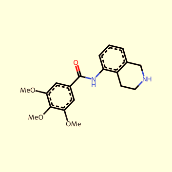 COc1cc(C(=O)Nc2cccc3c2CCNC3)cc(OC)c1OC